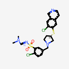 CN(C)/C=N/S(=O)(=O)c1cc(CN2CC[C@H](Sc3cc4ccncc4cc3Cl)C2)ccc1Cl